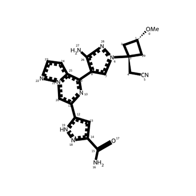 CO[C@H]1C[C@@](CC#N)(n2cc(-c3nc(-c4cc(C(N)=O)n[nH]4)cn4nccc34)c(N)n2)C1